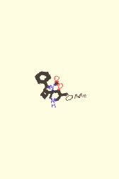 COCC1CNCC2(C3=CC=C3)C1OC(=O)N2Cc1ccccc1